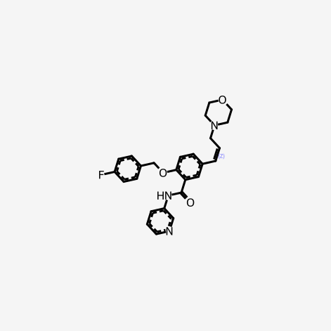 O=C(Nc1cccnc1)c1cc(/C=C\CN2CCOCC2)ccc1OCc1ccc(F)cc1